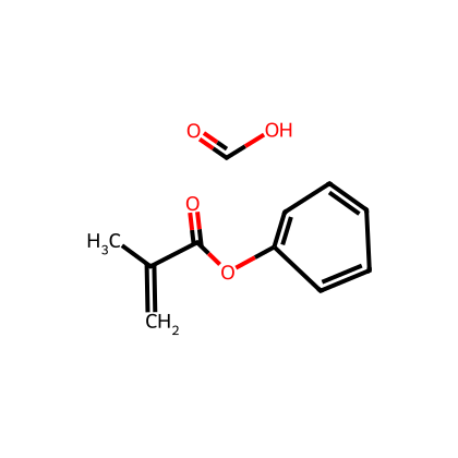 C=C(C)C(=O)Oc1ccccc1.O=CO